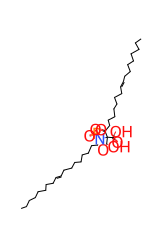 CCCCCCCCC=CCCCCCCCC(=O)N(P(=O)=O)C(CO)(C(=O)O)C(=O)CCCCCCCC=CCCCCCCCC